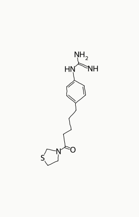 N=C(N)Nc1ccc(CCCCC(=O)N2CCSC2)cc1